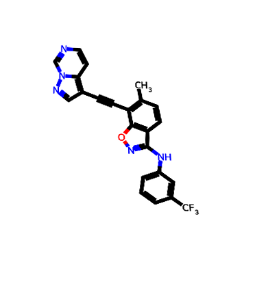 Cc1ccc2c(Nc3cccc(C(F)(F)F)c3)noc2c1C#Cc1cnn2cnccc12